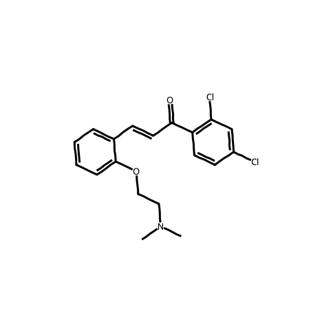 CN(C)CCOc1ccccc1/C=C/C(=O)c1ccc(Cl)cc1Cl